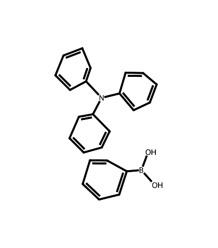 OB(O)c1ccccc1.c1ccc(N(c2ccccc2)c2ccccc2)cc1